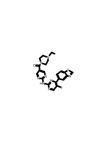 CCN1CCN(C(=O)c2cnc(Nc3ncc(F)c(-c4ccc5scnc5c4)n3)nc2)CC1